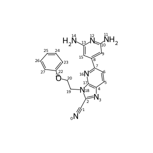 N#Cc1nc2ccc(-c3cc(N)nc(N)c3)nc2n1CCOc1ccccc1